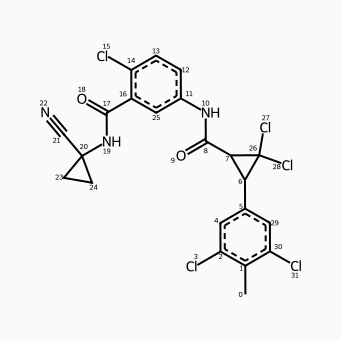 Cc1c(Cl)cc(C2C(C(=O)Nc3ccc(Cl)c(C(=O)NC4(C#N)CC4)c3)C2(Cl)Cl)cc1Cl